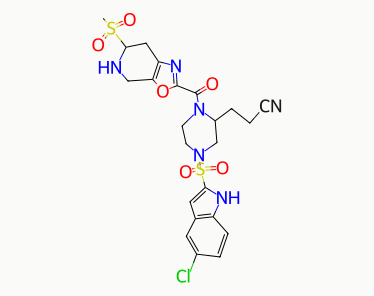 CS(=O)(=O)C1Cc2nc(C(=O)N3CCN(S(=O)(=O)c4cc5cc(Cl)ccc5[nH]4)CC3CCC#N)oc2CN1